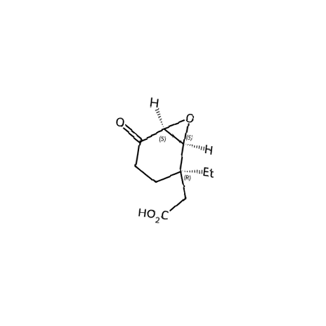 CC[C@]1(CC(=O)O)CCC(=O)[C@H]2O[C@H]21